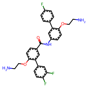 NCCOc1ccc(NC(=O)c2ccc(OCCN)c(-c3ccc(F)c(F)c3)c2)cc1-c1ccc(F)cc1